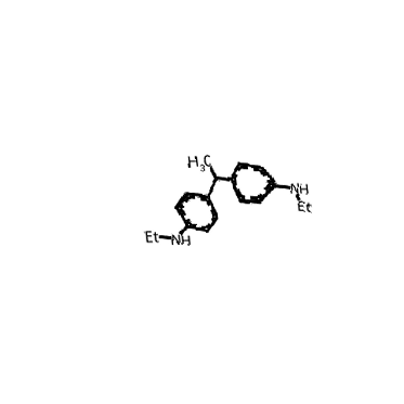 CCNc1ccc(C(C)c2ccc(NCC)cc2)cc1